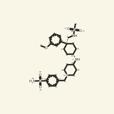 COc1cccc([C@]2(CNS(C)(=O)=O)CC[C@@H](NC3CCN(Cc4ccc(S(N)(=O)=O)cc4)CC3)CC2)c1